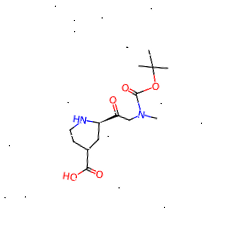 CN(CC(=O)[C@H]1CC(C(=O)O)CCN1)C(=O)OC(C)(C)C